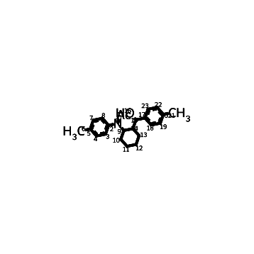 CC(=O)N(c1ccc(C)cc1)C1CCCCC1C(O)c1ccc(C)cc1